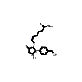 COC(=O)CCC/C=C\C[C@H]1C(=O)C[C@@H](O)[C@@H]1c1ccc(CO)cc1